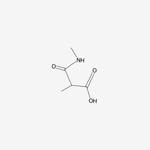 CNC(=O)C(C)C(=O)O